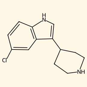 Clc1ccc2[nH]cc(C3CCNCC3)c2c1